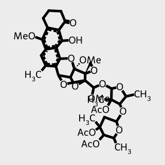 COc1c2c(c(O)c3c4c(c(C)cc13)C1OC3(C(OC)OC5OC(C)C(OC6CC(C)(OC(C)=O)C(OC(C)=O)C(C)O6)C5(C)OC(C)=O)OC1[C@@](OC)(O4)[C@@]31CO1)C(=O)CCC2